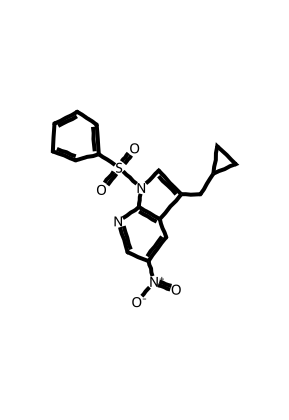 O=[N+]([O-])c1cnc2c(c1)c(CC1CC1)cn2S(=O)(=O)c1ccccc1